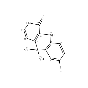 CCCCC1(C(F)(F)F)c2cc(F)ccc2Nc2c1cc[nH]c2=O